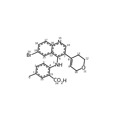 Cc1ccc(Nc2c(C3=CCOCC3)cnc3ccc(Br)cc23)c(C(=O)O)c1